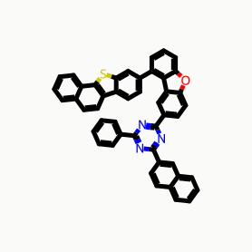 c1ccc(-c2nc(-c3ccc4ccccc4c3)nc(-c3ccc4oc5cccc(-c6ccc7c(c6)sc6c8ccccc8ccc76)c5c4c3)n2)cc1